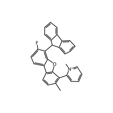 Cc1ccc2c(oc3c(C4c5ccccc5-c5ccccc54)c(F)ccc32)c1-c1cccc[n+]1C